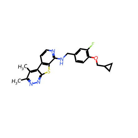 Cc1nnc2sc3c(NCc4ccc(OCC5CC5)c(F)c4)nccc3c2c1C